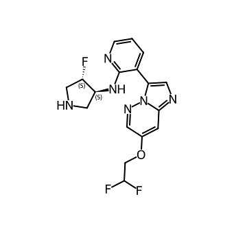 FC(F)COc1cnn2c(-c3cccnc3N[C@H]3CNC[C@@H]3F)cnc2c1